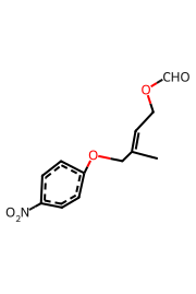 CC(=CCOC=O)COc1ccc([N+](=O)[O-])cc1